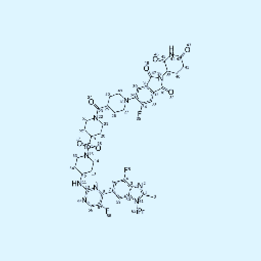 Cc1nc2c(F)cc(-c3nc(NC4CCN(S(=O)(=O)C5CCN(C(=O)C6CCN(c7cc8c(cc7F)C(=O)N(C7CCC(=O)NC7=O)C8=O)CC6)CC5)CC4)ncc3F)cc2n1C(C)C